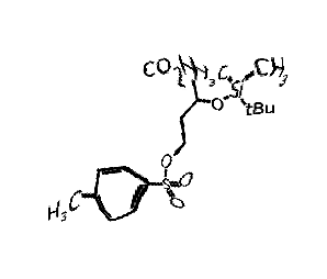 Cc1ccc(S(=O)(=O)OCCC(O[Si](C)(C)C(C)(C)C)C(=O)O)cc1